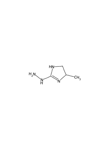 CC1CNC(NN)=N1